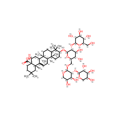 CC1(C)CC[C@]2(C(=O)O)[C@H](O)C[C@]3(C)C(=CC[C@@H]4[C@@]5(C)CC[C@H](O[C@@H]6O[C@H](CO[C@@H]7OC[C@H](O)[C@H](O)[C@H]7O[C@@H]7OC[C@H](O)[C@H](O)[C@H]7O)[C@@H](O)[C@H](O)[C@H]6O[C@@H]6O[C@H](CO)[C@@H](O)[C@H](O)[C@H]6O)C(C)(C)[C@@H]5CC[C@]43C)[C@@H]2C1